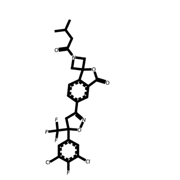 CC(C)CC(=O)N1CC2(C1)OC(=O)c1cc(C3=NOC(c4cc(Cl)c(F)c(Cl)c4)(C(F)(F)F)C3)ccc12